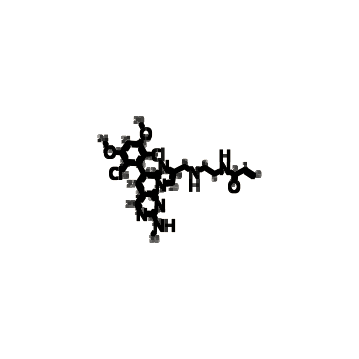 C=CC(=O)NCCNCc1cn2c(n1)c(-c1c(Cl)c(OC)cc(OC)c1Cl)cc1cnc(NC)nc12